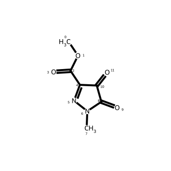 COC(=O)C1=NN(C)C(=O)C1=O